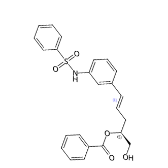 O=C(O[C@H](CO)C/C=C/c1cccc(NS(=O)(=O)c2ccccc2)c1)c1ccccc1